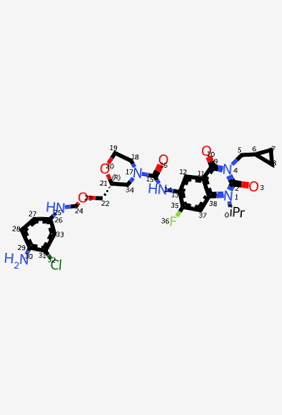 CC(C)n1c(=O)n(CC2CC2)c(=O)c2cc(NC(=O)N3CCO[C@@H](COCNc4ccc(N)c(Cl)c4)C3)c(F)cc21